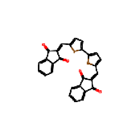 O=C1C(=Cc2ccc(-c3ccc(C=C4C(=O)c5ccccc5C4=O)s3)s2)C(=O)c2ccccc21